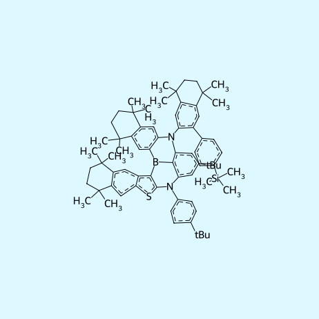 CC(C)(C)c1ccc(N2c3cc(C(C)(C)C)cc4c3B(c3cc5c(cc3N4c3cc4c(cc3-c3ccc([Si](C)(C)C)cc3)C(C)(C)CCC4(C)C)C(C)(C)CCC5(C)C)c3c2sc2cc4c(cc32)C(C)(C)CCC4(C)C)cc1